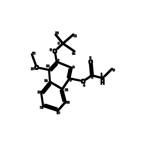 CNC(=O)Oc1cc(OC(C)(C)C)c(OC)c2ccccc12